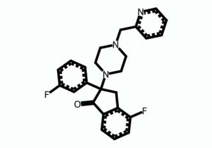 O=C1c2cccc(F)c2CC1(c1cccc(F)c1)N1CCN(Cc2ccccn2)CC1